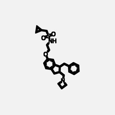 O=S(=O)(CC1CC1)NCCOc1ccc2c(c1)C(Cc1ccccc1)C(CN1CCC1)C2